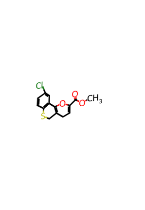 COC(=O)C1=CCC2=C(O1)c1cc(Cl)ccc1SC2